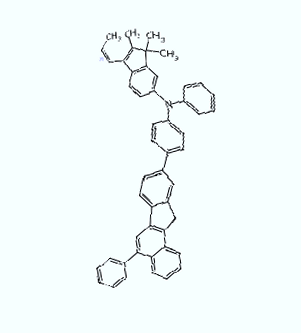 C/C=C\C1=C(C)C(C)(C)c2cc(N(c3ccccc3)c3ccc(-c4ccc5c(c4)Cc4c-5cc(-c5ccccc5)c5ccccc45)cc3)ccc21